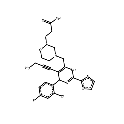 O=C(O)CC[C@@H]1CN(CC2=C(C#CCO)C(c3ccc(F)cc3Cl)N=C(c3nccs3)N2)CCO1